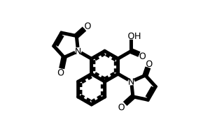 O=C(O)c1cc(N2C(=O)C=CC2=O)c2ccccc2c1N1C(=O)C=CC1=O